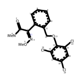 CNC(=O)/C(=N\OC)c1ccccc1COc1c(Cl)cc(Cl)cc1Cl